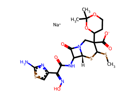 CSC1S[C@@H]2C(NC(=O)C(=NO)c3csc(N)n3)C(=O)N2CC1(C(=O)[O-])C1CCOC(C)(C)O1.[Na+]